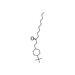 CCCCCCCCCC(=O)CCC1CCC(C(C)(C)C)CC1